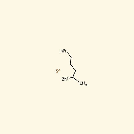 CCCCCC[CH](C)[Zn+2].[S-2]